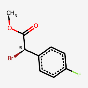 COC(=O)[C@H](Br)c1ccc(F)cc1